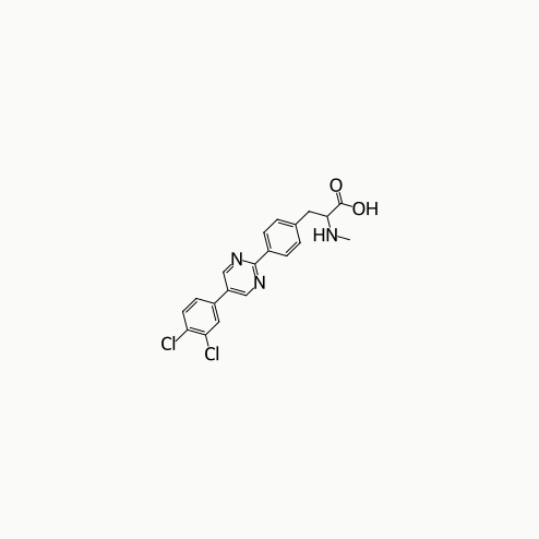 CNC(Cc1ccc(-c2ncc(-c3ccc(Cl)c(Cl)c3)cn2)cc1)C(=O)O